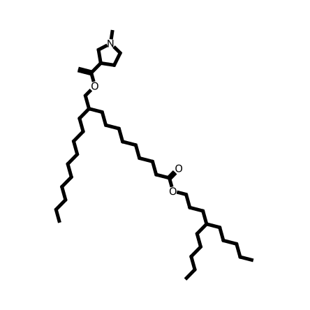 C=C(OCC(CCCCCCCCCC)CCCCCCCCC(=O)OCCCC(CCCCC)CCCCC)C1CCN(C)C1